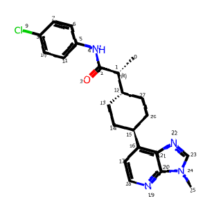 C[C@@H](C(=O)Nc1ccc(Cl)cc1)[C@H]1CC[C@H](c2ccnc3c2ncn3C)CC1